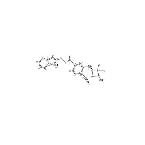 CC1(C)C(O)C[C@H]1Nc1nc(NCCc2cc3ccccc3[nH]2)ncc1C#N